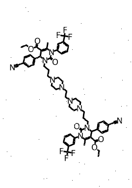 CCOC(=O)C1=C(C)N(c2cccc(C(F)(F)F)c2)C(=O)N(CCCN2CCN(CCN3CCN(CCCN4C(=O)N(c5cccc(C(F)(F)F)c5)C(C)=C(C(=O)OCC)C4c4ccc(C#N)cc4)CC3)CC2)C1c1ccc(C#N)cc1